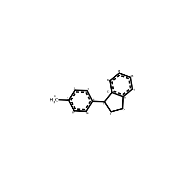 Cc1ccc(C2CCc3ccccc32)cc1